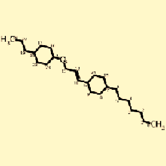 CCCCCCCC1CCC(C=CCOC2CCC(CCC)CC2)CC1